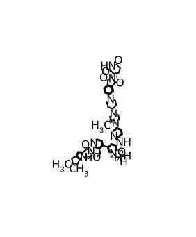 [2H]C([2H])([2H])Oc1ncc(-c2ccnc(N3CCn4c(cc5c4CC(C)(C)C5)C3=O)c2CO)cc1Nc1ccc(N2CCN(C3CCN(c4ccc5c(c4)C(=O)N([C@H]4CCC(=O)NC4=O)C5=O)CC3)C[C@@H]2C)cn1